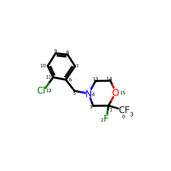 FC(F)(F)C1(F)CN(Cc2ccccc2Cl)CCO1